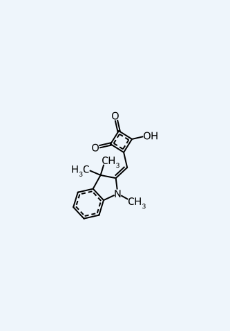 CN1/C(=C/c2c(O)c(=O)c2=O)C(C)(C)c2ccccc21